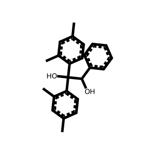 Cc1ccc(C(O)(c2ccc(C)cc2C)C(O)c2ccccc2)c(C)c1